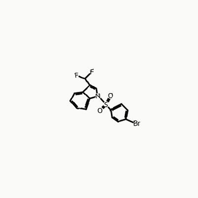 O=S(=O)(c1ccc(Br)cc1)n1cc(C(F)F)c2ccccc21